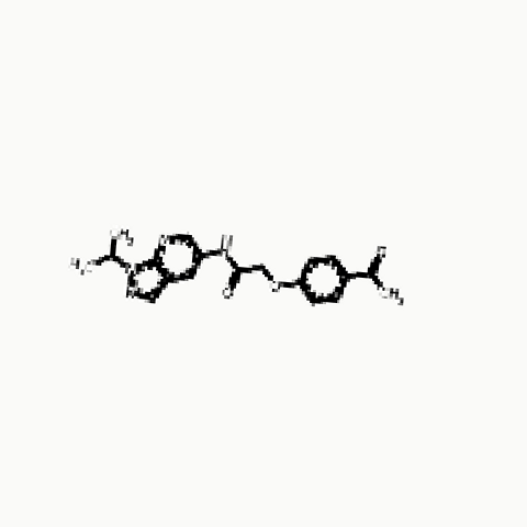 CC(=O)c1ccc(OCC(=O)Nc2cnc3c(cnn3C(C)C)c2)cc1